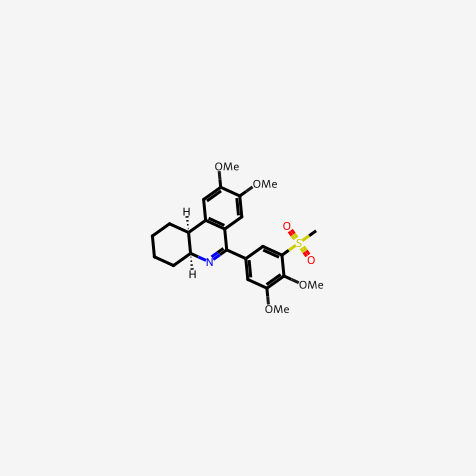 COc1cc2c(cc1OC)[C@@H]1CCCC[C@@H]1N=C2c1cc(OC)c(OC)c(S(C)(=O)=O)c1